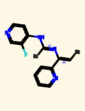 CC/C=C(\N=C(/CC)Nc1ccncc1F)c1ccccn1